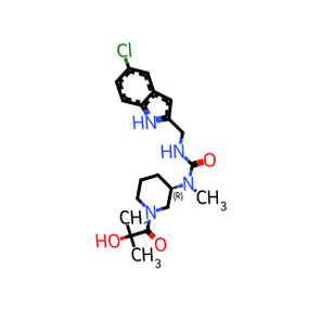 CN(C(=O)NCc1cc2cc(Cl)ccc2[nH]1)[C@@H]1CCCN(C(=O)C(C)(C)O)C1